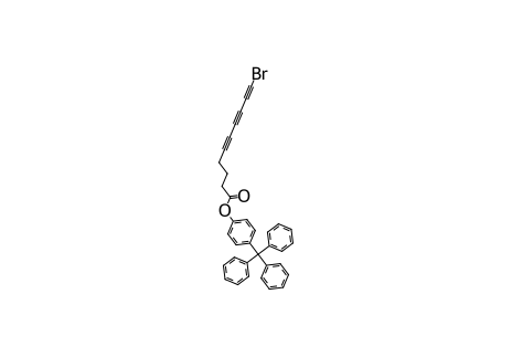 O=C(CCCC#CC#CC#CBr)Oc1ccc(C(c2ccccc2)(c2ccccc2)c2ccccc2)cc1